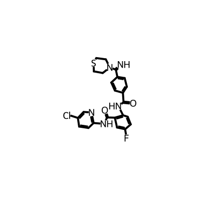 N=C(c1ccc(C(=O)Nc2ccc(F)cc2C(=O)Nc2ccc(Cl)cn2)cc1)N1CCSCC1